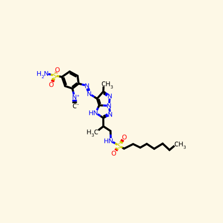 [C-]#[N+]c1cc(S(N)(=O)=O)ccc1N=Nc1c(C)nn2nc(C(C)CNS(=O)(=O)CCCCCCCC)[nH]c12